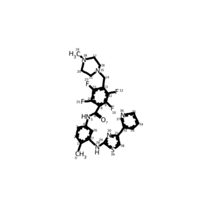 Cc1ccc(NC(=O)c2c(F)c(F)c(CN3CCN(C)CC3)c(F)c2F)cc1Nc1nc(-c2cccnc2)cs1